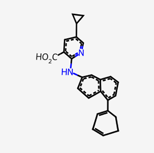 O=C(O)c1cc(C2CC2)cnc1Nc1ccc2c(C3=CC=CCC3)cccc2c1